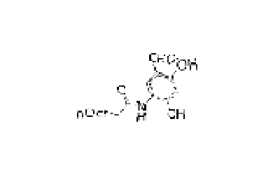 CCCCCCCCCC(=O)Nc1cc([C]=O)c(O)cc1O